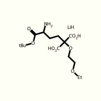 CCOCCOC(CCC(N)C(=O)OC(C)(C)C)(C(=O)O)C(=O)O.[LiH]